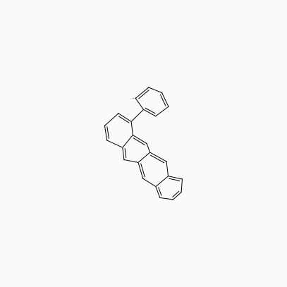 [c]1ccccc1-c1cccc2cc3cc4ccccc4cc3cc12